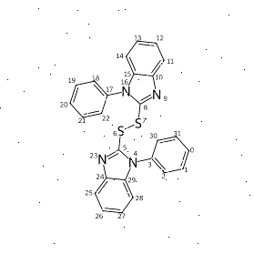 c1ccc(-n2c(SSc3nc4ccccc4n3-c3ccccc3)nc3ccccc32)cc1